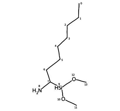 CCCCCCCC(N)[SiH](OC)OC